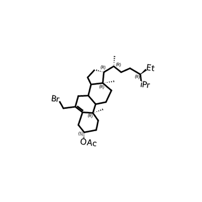 CC[C@H](CC[C@@H](C)[C@H]1CCC2C3CC(CBr)=C4C[C@@H](OC(C)=O)CC[C@]4(C)C3CC[C@@]21C)C(C)C